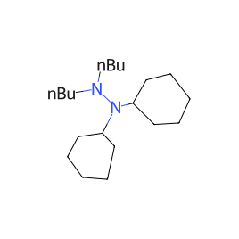 CCCCN(CCCC)N(C1CCCCC1)C1CCCCC1